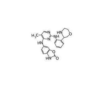 Cc1cnc(Nc2ccccc2C2COCCN2)nc1Nc1ccc2[nH]c(=O)oc2c1